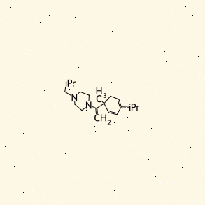 C=C(N1CCN(CC(C)C)CC1)C1(C)C=CC(C(C)C)=CC1